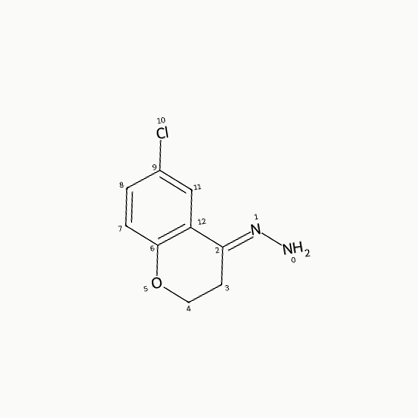 N/N=C1\CCOc2ccc(Cl)cc21